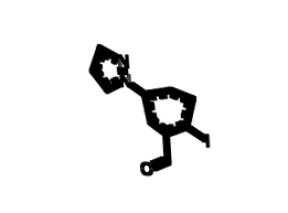 O=Cc1cc(-n2cccn2)ccc1I